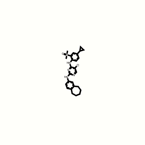 CP(C)(=O)c1cc(C2CC2)ccc1Nc1nc(Nc2ccc3c(c2)CCCCC3)ncc1Cl